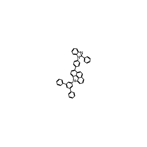 c1ccc(-c2cc(-c3ccccc3)cc(-n3c4cccc5ccc6c(-c7ccc(-n8c(-c9ccccc9)nc9ccccc98)cc7)ccc3c6c54)c2)cc1